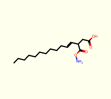 CCCCCCCCCCC=CC(CC(=O)O)C(=O)ON